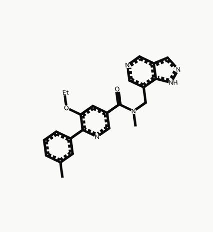 CCOc1cc(C(=O)N(C)Cc2cncc3cn[nH]c23)cnc1-c1cccc(C)c1